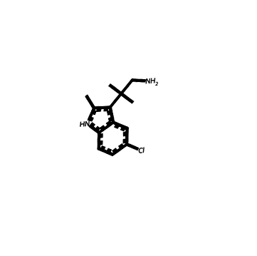 Cc1[nH]c2ccc(Cl)cc2c1C(C)(C)CN